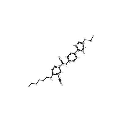 CCCCCCOc1ccc(C(=O)Oc2ccc(-c3ncc(CCC)cn3)cc2)cc1C#N